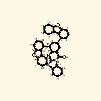 O=c1c2cc(-c3cccc4oc5ccccc5c34)cc(-c3cccc4oc5ccccc5c34)c2nc2sc3ccccc3n12